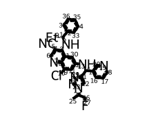 CC[C@@H](Nc1c(C#N)cnc2c(Cl)cc(N[C@@H](c3cccnc3)c3cn(C(C)CF)nn3)cc12)c1ccccc1